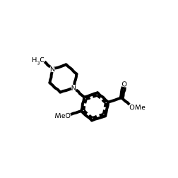 COC(=O)c1ccc(OC)c(N2CCN(C)CC2)c1